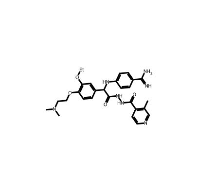 CCOc1cc(C(Nc2ccc(C(=N)N)cc2)C(=O)NNC(=O)c2ccncc2C)ccc1OCCN(C)C